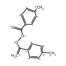 C=C(OOC(=O)c1ccc(C)cc1)c1ccc(C)cc1